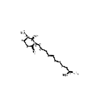 CC(O)CCCCCCCCCN1C(=O)CCN(C)C1=O